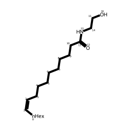 CCCCCC/C=C\CCCCCCCCC(=O)NCCO